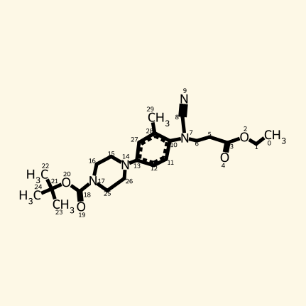 CCOC(=O)CCN(C#N)c1ccc(N2CCN(C(=O)OC(C)(C)C)CC2)cc1C